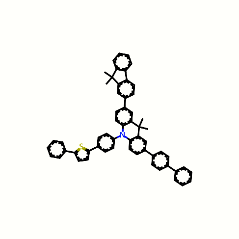 CC1(C)c2ccccc2-c2ccc(-c3ccc4c(c3)C(C)(C)c3cc(-c5ccc(-c6ccccc6)cc5)ccc3N4c3ccc(-c4ccc(-c5ccccc5)s4)cc3)cc21